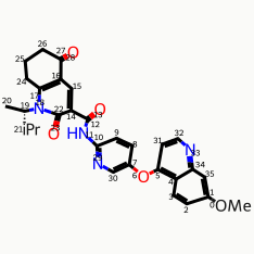 COc1ccc2c(Oc3ccc(NC(=O)c4cc5c(n([C@@H](C)C(C)C)c4=O)CCCC5=O)nc3)ccnc2c1